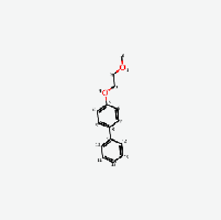 COCCOc1ccc(-c2cc[c]cc2)cc1